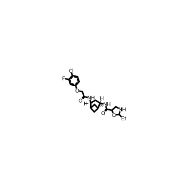 CCC1NCC(C(=O)N[C@@H]2C[C@H](NC(=O)COc3ccc(Cl)c(F)c3)C3CC2C3)O1